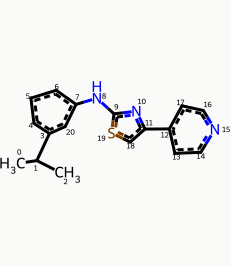 CC(C)c1cccc(Nc2nc(-c3ccncc3)cs2)c1